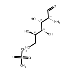 CS(C)(=O)=O.N[C@@H](C=O)[C@@H](O)[C@H](O)[C@H](O)CO